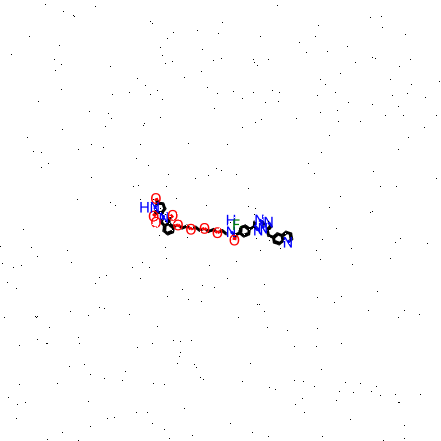 O=C1CCC(N2C(=O)c3cccc(OCCOCCOCCOCCNC(=O)c4ccc(-c5cnc6ncc(Cc7ccc8ncccc8c7)n6n5)cc4F)c3C2=O)C(=O)N1